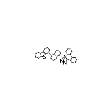 c1ccc2c(c1)sc1c(-c3cccc4c(-c5nnc6c7ccccc7c7ccccc7n56)cccc34)cccc12